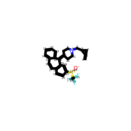 C=C1CC1CN1CCC(=C2c3ccccc3C=Cc3ccc([S+]([O-])C(F)(F)F)cc32)CC1